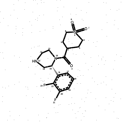 O=C(C1CCS(=O)(=O)CC1)N1CCNC[C@H]1c1cccc(F)c1F